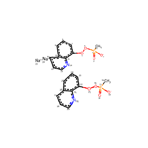 CP(=O)([O-])OOc1cccc2cccnc12.CP(=O)([O-])OOc1cccc2cccnc12.[Na+].[Na+]